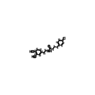 O=C(CCCc1ccc(Cl)cc1)NCCc1ccc(O)c(O)c1